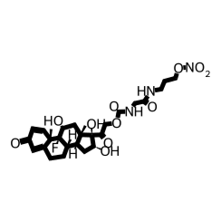 C[C@]12C=CC(=O)C=C1CC[C@H]1[C@@H]3C[C@@H](O)[C@](O)(C(=O)COC(=O)NCC(=O)NCCCO[N+](=O)[O-])[C@@]3(C)C[C@H](O)[C@@]12F